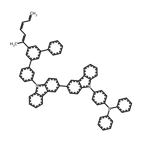 C=C/C=C\C=C(/C)c1cc(-c2ccccc2)cc(-c2cccc(-n3c4ccccc4c4cc(-c5ccc6c(c5)c5ccccc5n6-c5ccc(N(c6ccccc6)c6ccccc6)cc5)ccc43)c2)c1